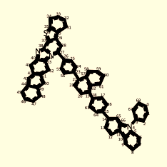 c1ccc(-n2c3ccccc3c3ccc(-c4ccc(-c5ccc(-c6ccc(-c7cc8c9ccccc9sc8c8nc9cc%10cc%11ccccc%11cc%10cc9n78)cc6)c6ccccc56)cc4)cc32)cc1